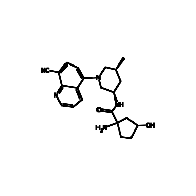 C[C@H]1C[C@@H](NC(=O)C2(N)CCC(O)C2)CN(c2ccc(C#N)c3ncccc23)C1